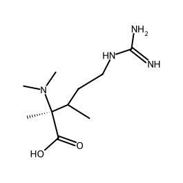 CC(CCNC(=N)N)[C@@](C)(C(=O)O)N(C)C